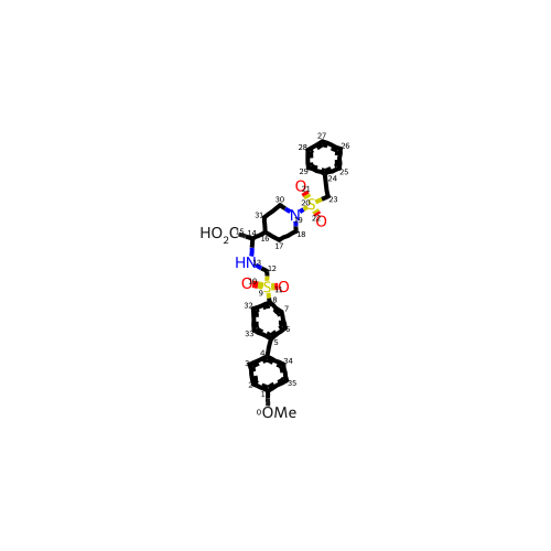 COc1ccc(-c2ccc(S(=O)(=O)CNC(C(=O)O)C3CCN(S(=O)(=O)Cc4ccccc4)CC3)cc2)cc1